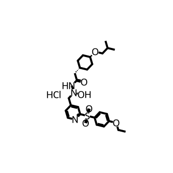 CCOc1ccc(S(=O)(=O)c2cc(CN(O)NC(=O)C[C@H]3CC[C@H](OCC(C)C)CC3)ccn2)cc1.Cl